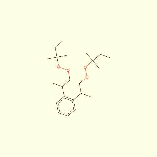 CCC(C)(C)OOCC(C)c1ccccc1C(C)COOC(C)(C)CC